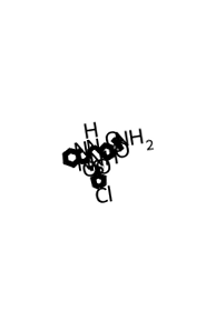 NS(=O)(=O)c1cccc(Nc2nc3ccccc3nc2NS(=O)(=O)c2ccc(Cl)cc2)c1